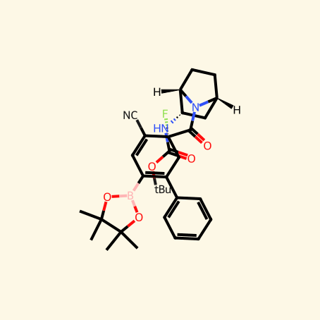 CC(C)(C)OC(=O)N[C@H]1C[C@H]2CC[C@@H]1N2C(=O)[C@@]1(F)CC(c2ccccc2)=C(B2OC(C)(C)C(C)(C)O2)C=C1C#N